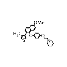 COc1ccc2c(Oc3ccc(OCCN4CCCCC4)cc3)c(-c3cscc3C)ccc2c1